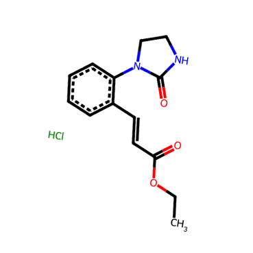 CCOC(=O)/C=C/c1ccccc1N1CCNC1=O.Cl